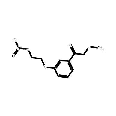 COCC(=O)c1cccc(OCCO[N+](=O)[O-])c1